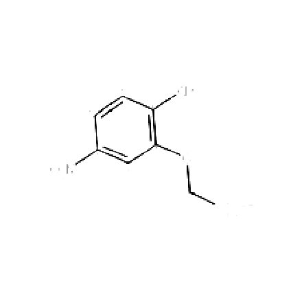 CCOC(=O)COc1cc([N+](=O)[O-])ccc1Cl